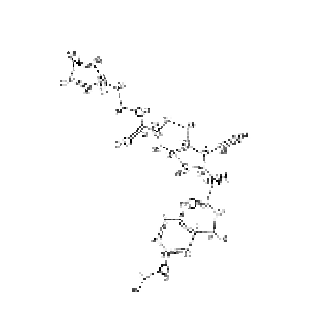 CCOc1cccc(C(C)CC(=O)NC2SC3=C(CCN(C(=O)OCCn4ccnc4)C3)C2C#N)c1